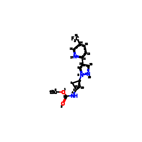 CC(C)(C)OC(=O)NC12CC(n3cc(-c4ccc(C(F)(F)F)cn4)cn3)(C1)C2